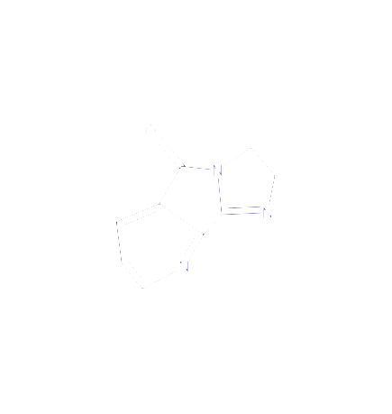 O=C1c2cccnc2C2=NCCN12